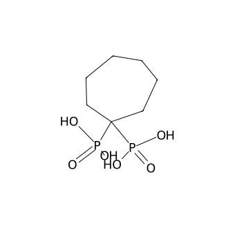 O=P(O)(O)C1(P(=O)(O)O)CCCCCC1